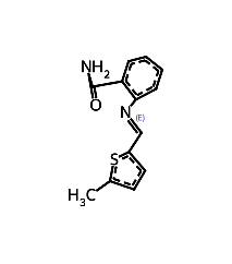 Cc1ccc(/C=N/c2ccccc2C(N)=O)s1